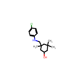 CC1(C)CC(O)CC(C)(CNc2ccc(Cl)cc2)C1